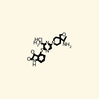 Cl.Nc1nc(N2CCC3(CC2)COC[C@H]3N)cnc1Sc1cccc2c1C(=O)C(=O)N2